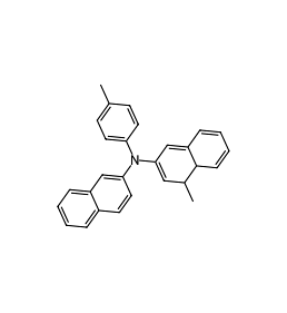 Cc1ccc(N(C2=CC(C)C3C=CC=CC3=C2)c2ccc3ccccc3c2)cc1